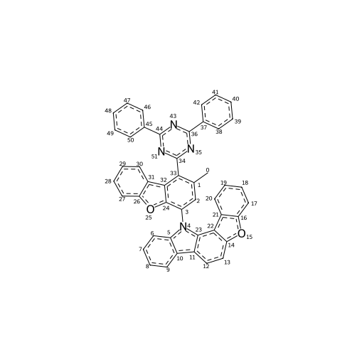 Cc1cc(-n2c3ccccc3c3ccc4oc5ccccc5c4c32)c2oc3ccccc3c2c1-c1nc(-c2ccccc2)nc(-c2ccccc2)n1